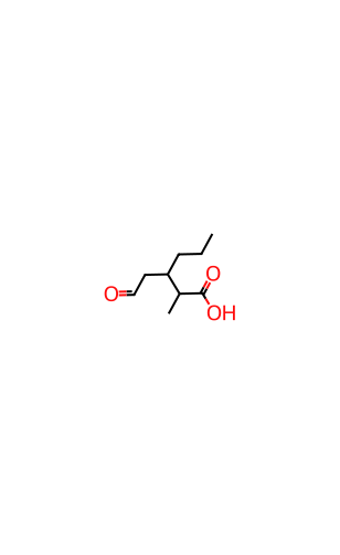 CCCC(CC=O)C(C)C(=O)O